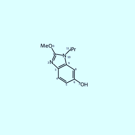 COc1nc2ccc(O)cc2n1C(C)C